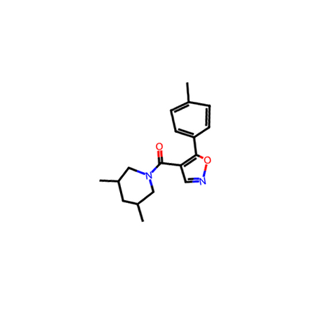 Cc1ccc(-c2oncc2C(=O)N2CC(C)CC(C)C2)cc1